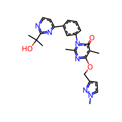 Cc1c(OCc2ccn(C)n2)nc(C)n(-c2cccc(-c3ccnc(C(C)(C)O)n3)c2)c1=O